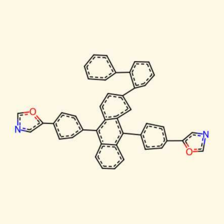 c1ccc(-c2ccccc2-c2ccc3c(-c4ccc(-c5cnco5)cc4)c4ccccc4c(-c4ccc(-c5cnco5)cc4)c3c2)cc1